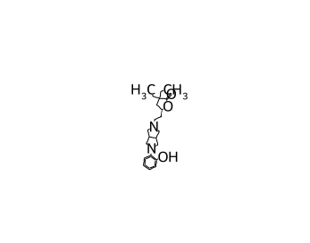 CCC1(CC)C[C@H](CCN2CC3CN(c4ccccc4O)CC3C2)OC1=O